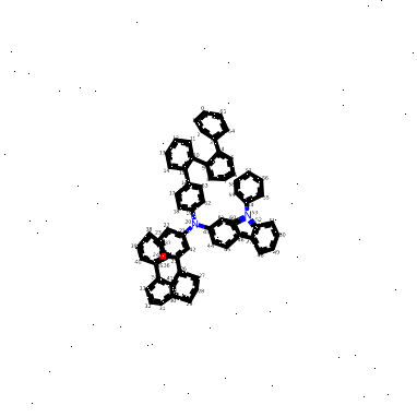 c1ccc(-c2ccccc2-c2ccccc2-c2ccc(N(c3cccc(-c4cccc5cccc(-c6ccccc6)c45)c3)c3ccc4c5ccccc5n(-c5ccccc5)c4c3)cc2)cc1